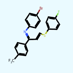 Fc1ccc(SC=CC(=Nc2ccc(Br)cc2)c2ccc(C(F)(F)F)cc2)cc1